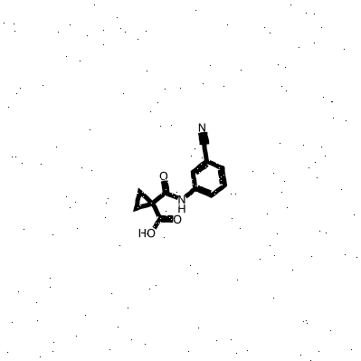 N#Cc1cccc(NC(=O)C2(C(=O)O)CC2)c1